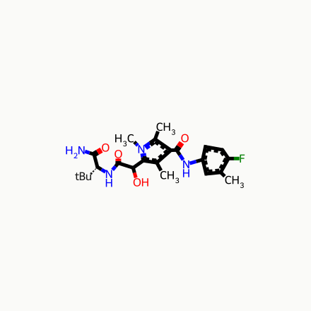 Cc1cc(NC(=O)c2c(C)c(C(O)C(=O)N[C@@H](C(N)=O)C(C)(C)C)n(C)c2C)ccc1F